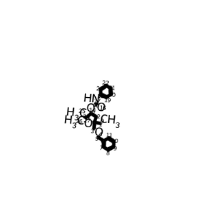 CCC1(COCc2ccccc2)CC(OC(=O)Nc2ccccc2)C(C)(C)O1